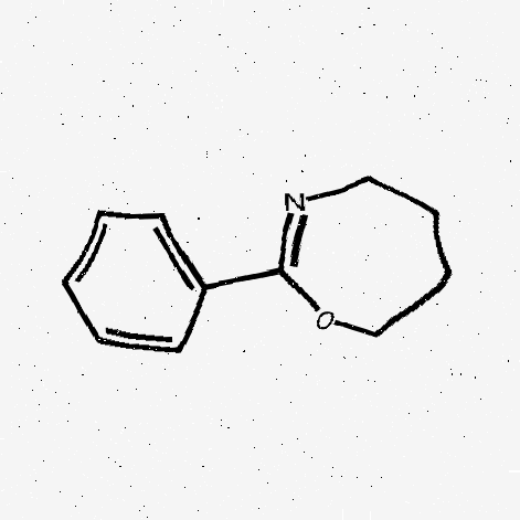 c1ccc(C2=NCCCCO2)cc1